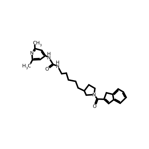 Cc1cc(NC(=O)NCCCCCC2CCN(C(=O)C3=Cc4ccccc4C3)C2)cc(C)n1